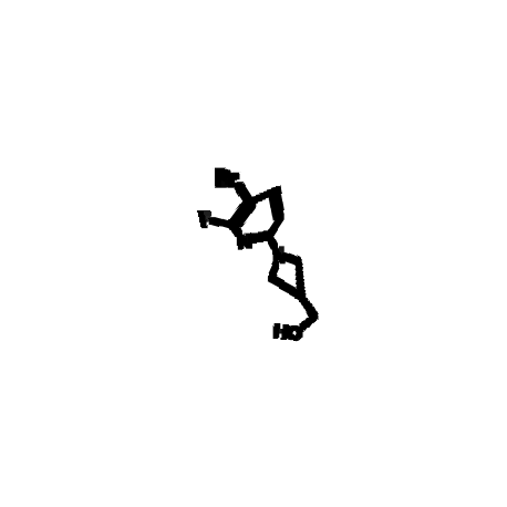 OCC1CN(c2ccc(Br)c(F)n2)C1